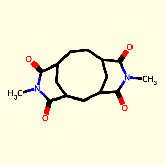 CN1C(=O)C2CCC3CC(CC(C2)C1=O)C(=O)N(C)C3=O